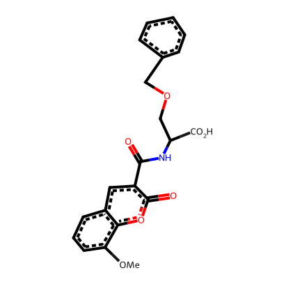 COc1cccc2cc(C(=O)NC(COCc3ccccc3)C(=O)O)c(=O)oc12